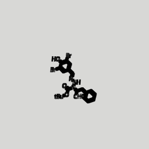 CC(C)(C)OC(=O)N(N/N=C/c1cc(Br)c(O)c(Br)c1)C(C=O)Cc1ccccc1